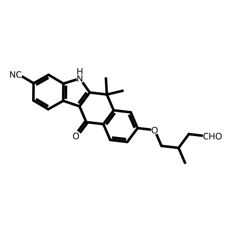 CC(CC=O)COc1ccc2c(c1)C(C)(C)c1[nH]c3cc(C#N)ccc3c1C2=O